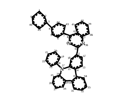 c1ccc(-c2ccc(-c3nc(-c4ccc5c(c4)N(c4ccccc4)c4ccccc4-c4ccccc4-5)nc4ccccc34)cc2)cc1